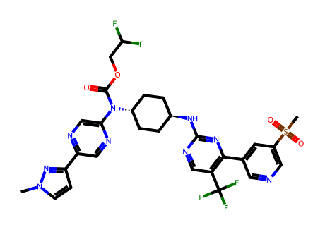 Cn1ccc(-c2cnc(N(C(=O)OCC(F)F)[C@H]3CC[C@H](Nc4ncc(C(F)(F)F)c(-c5cncc(S(C)(=O)=O)c5)n4)CC3)cn2)n1